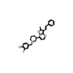 Cc1nn2c(C3CCCN(Cc4ccc(F)c(F)c4)C3)ccnc2c1C=Cc1ccccc1